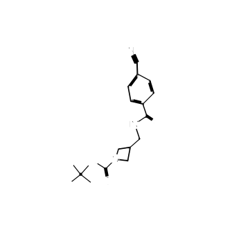 CC(C)(C)OC(=O)N1CC(CNC(=O)c2ccc(C#N)cc2)C1